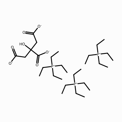 CC[P+](CC)(CC)CC.CC[P+](CC)(CC)CC.CC[P+](CC)(CC)CC.O=C([O-])CC(O)(CC(=O)[O-])C(=O)[O-]